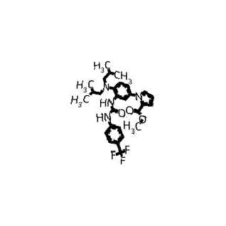 COC(=O)c1cccn1-c1ccc(N(CC(C)C)CC(C)C)c(NC(=O)Nc2ccc(C(F)(F)F)cc2)c1